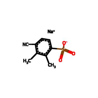 Cc1c(C#N)ccc(S(=O)(=O)[O-])c1C.[Na+]